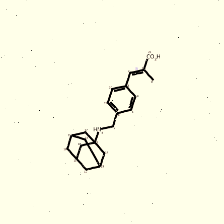 C/C(=C\c1ccc(CNC23CC4CC(CC(C4)C2)C3)cc1)C(=O)O